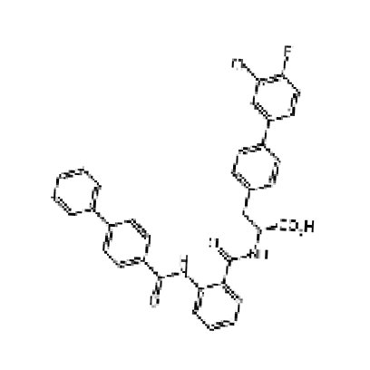 O=C(Nc1ccccc1C(=O)N[C@@H](Cc1ccc(-c2ccc(F)c(Cl)c2)cc1)C(=O)O)c1ccc(-c2ccccc2)cc1